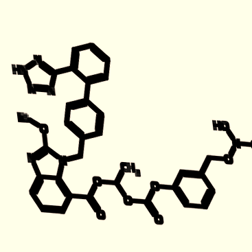 CCOc1nc2cccc(C(=O)OC(C)OC(=O)Oc3cccc(CON(O)O)c3)c2n1Cc1ccc(-c2ccccc2-c2nn[nH]n2)cc1